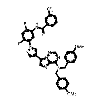 COc1ccc(CN(Cc2ccc(OC)cc2)c2ncnn3c(-c4cnn(-c5cc(NC(=O)c6cccc(C(F)(F)F)c6)c(F)cc5F)c4)cnc23)cc1